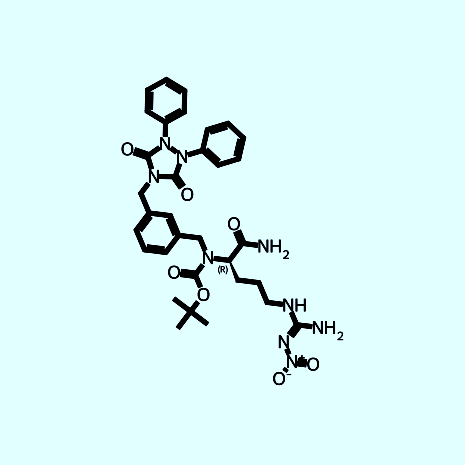 CC(C)(C)OC(=O)N(Cc1cccc(Cn2c(=O)n(-c3ccccc3)n(-c3ccccc3)c2=O)c1)[C@H](CCCNC(N)=N[N+](=O)[O-])C(N)=O